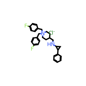 Fc1ccc(C[N+]2(Cc3ccc(F)cc3)CCC(CNC3CC3c3ccccc3)CC2)cc1.[Cl-]